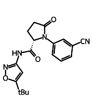 CC(C)(C)c1cc(NC(=O)[C@@H]2CCC(=O)N2c2cccc(C#N)c2)no1